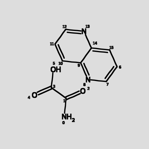 NC(=O)C(=O)O.c1cnc2cccnc2c1